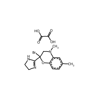 Cc1ccc2c(c1)N(C)CC(Br)(C1=NCCN1)O2.O=C(O)C(=O)O